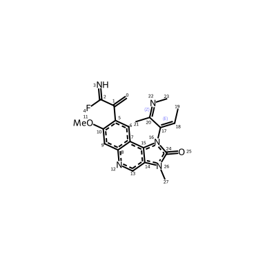 C=C(C(=N)F)c1cc2c(cc1OC)ncc1c2n(C(=C/C)/C(C)=N\C)c(=O)n1C